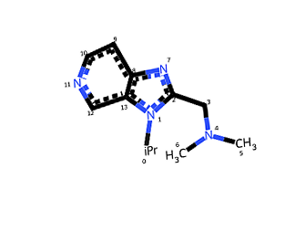 CC(C)n1c(CN(C)C)nc2ccncc21